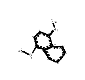 CCCCOc1ccc(OCC)c2ccccc12